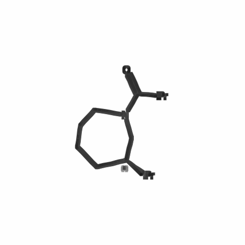 CC(C)C(=O)N1CCCC[C@H](C(C)C)C1